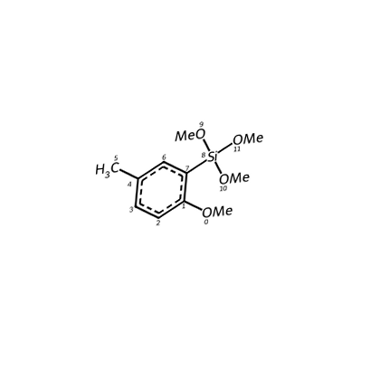 COc1ccc(C)cc1[Si](OC)(OC)OC